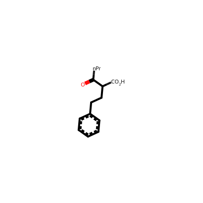 CCCC(=O)C(CCc1ccccc1)C(=O)O